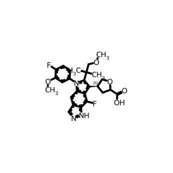 COCC(C)(C)c1c([C@H]2COC(C(=O)O)C2)c2c(F)c3[nH]ncc3cc2n1-c1ccc(F)c(OC)c1